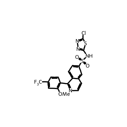 COc1cc(C(F)(F)F)ccc1-c1nccc2cc(S(=O)(=O)Nc3nnc(Cl)s3)ccc12